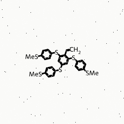 C=Cc1c(Sc2ccc(SC)cc2)cc(Sc2ccc(SC)cc2)cc1Sc1ccc(SC)cc1